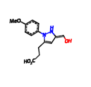 COc1ccc(N2NC(=CO)C=C2CCC(=O)O)cc1